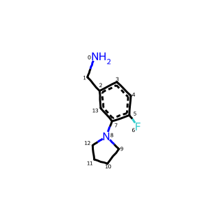 NCc1ccc(F)c(N2CCCC2)c1